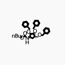 CCCCOC(=O)N[C@@H]1C[C@H](COCc2ccccc2)[C@@H](OCc2ccccc2)[C@H]1OCc1ccccc1